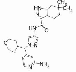 CC1(C)CCc2c(C(=O)Nc3cnn(C(c4ccnc(N)c4)C4CCOCC4)c3)n[nH]c2C1